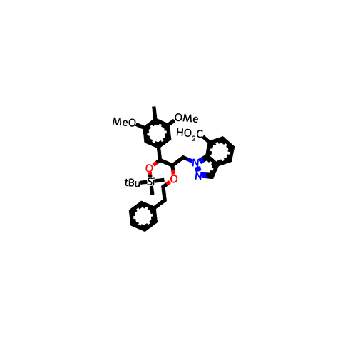 COc1cc(C(O[Si](C)(C)C(C)(C)C)C(Cn2ncc3cccc(C(=O)O)c32)OCCc2ccccc2)cc(OC)c1C